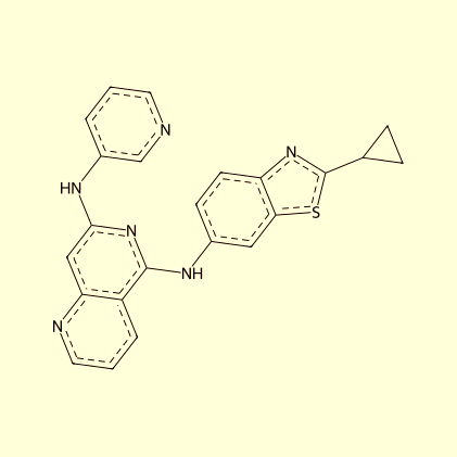 c1cncc(Nc2cc3ncccc3c(Nc3ccc4nc(C5CC5)sc4c3)n2)c1